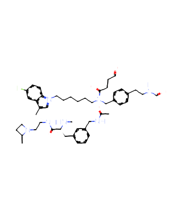 CN[C@@H](Cc1cccc(CNC(C)=O)c1)C(=O)N[C@@H](Cc1cn(CCCCCCN(Cc2ccc(CCNC=O)cc2)C(=O)CCC=O)c2ccc(F)cc12)CN1CCC1C